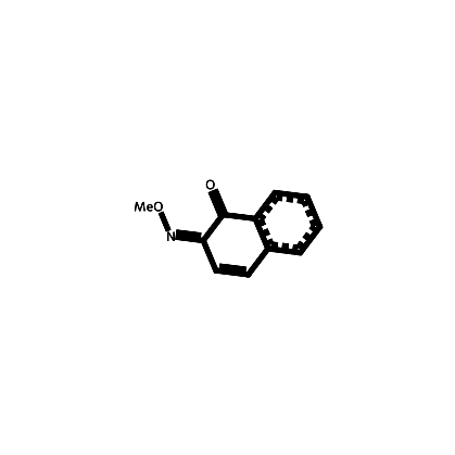 CON=C1C=Cc2ccccc2C1=O